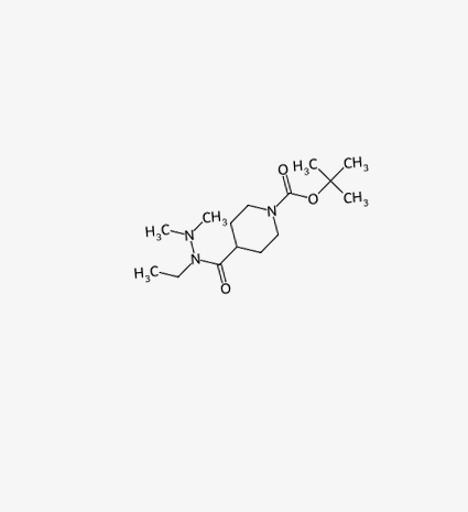 CCN(C(=O)C1CCN(C(=O)OC(C)(C)C)CC1)N(C)C